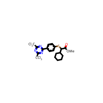 COC(=O)C(Sc1ccc(-c2nc(C(Cl)(Cl)Cl)nc(C(Cl)(Cl)Cl)n2)cc1)C1CCCCC1